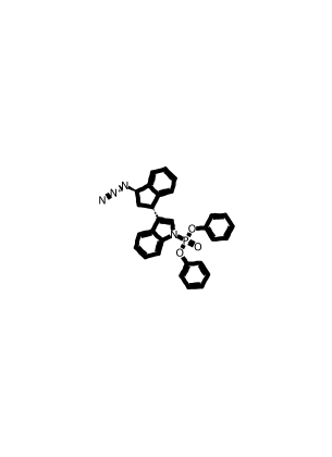 [N-]=[N+]=N[C@@H]1C[C@@H](c2cn(P(=O)(Oc3ccccc3)Oc3ccccc3)c3ccccc23)c2ccccc21